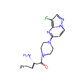 CC(C)C[C@H](N)C(=O)N1CCN(c2ccn3ncc(F)c3n2)CC1